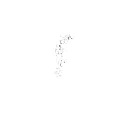 O=C(Nc1ccc(C(=O)N2CCC[C@H](C(=O)NO)C2)cc1)Nc1ccc(OC(F)(F)F)c(F)c1